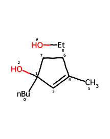 CCCCC1(O)C=C(C)CC1.CCO